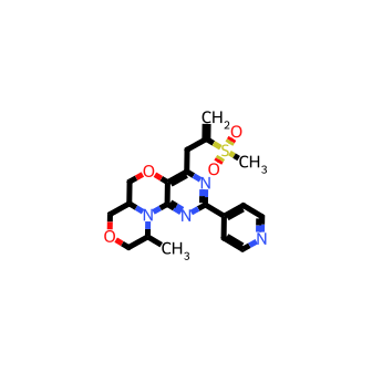 C=C(Cc1nc(-c2ccncc2)nc2c1OCC1COCC(C)N21)S(C)(=O)=O